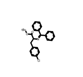 CC(C)(C)OC(=O)C(Cc1ccc(Cl)cc1)N=C(c1ccccc1)c1ccccc1